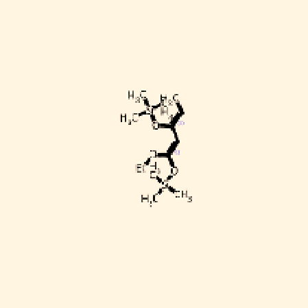 C/C=C(/C=C(\OCC)O[Si](C)(C)C)O[Si](C)(C)C